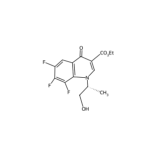 CCOC(=O)c1cn([C@H](C)CO)c2c(F)c(F)c(F)cc2c1=O